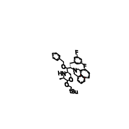 C[C@H]1N[C@@H]([C@@H](OCc2ccccc2)[C@H](Cc2cc(F)cc(F)c2)N(Cc2ccccc2)Cc2ccccc2)CO[C@H]1OCC(C)(C)C